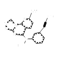 CNc1ccc2c(N(C)c3cccc(C#CC(C)(C)C)c3)nc3nncn3c2n1